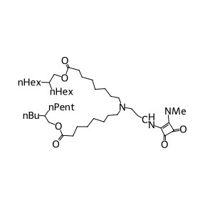 CCCCCCC(CCCCCC)COC(=O)CCCCCCCN(CCCCCCCC(=O)OCC(CCCC)CCCCC)CCCNc1c(NC)c(=O)c1=O